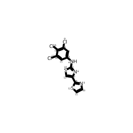 Clc1cc(Nc2nc(-c3nccs3)cs2)cc(Cl)c1Cl